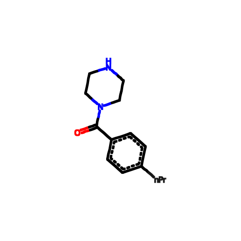 CCCc1ccc(C(=O)N2CCNCC2)cc1